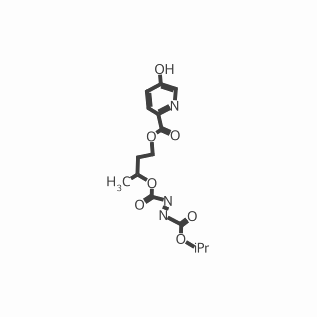 CC(C)OC(=O)/N=N/C(=O)OC(C)CCOC(=O)c1ccc(O)cn1